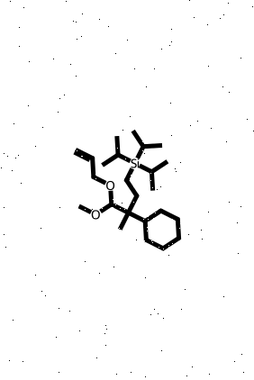 C=CCOC(OC)C(C)(CC[Si](C(C)C)(C(C)C)C(C)C)C1CCCCC1